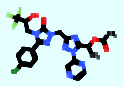 CC(=O)OC(C)c1nc(Cn2nc(-c3ccc(Cl)cc3)n(CC(O)C(F)(F)F)c2=O)nn1-c1cnccn1